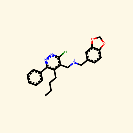 CCCCc1c(-c2ccccc2)nnc(Cl)c1CNCc1ccc2c(c1)OCO2